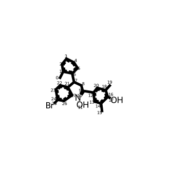 Cc1ccccc1C(CC(=NO)c1cc(C)c(O)c(C)c1)c1ccc(Br)cc1